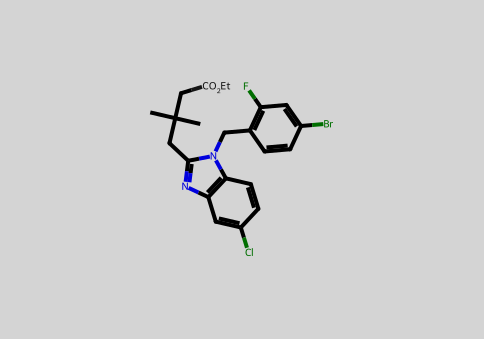 CCOC(=O)CC(C)(C)Cc1nc2cc(Cl)ccc2n1Cc1ccc(Br)cc1F